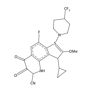 COC1=S(N2CCC(C(F)(F)F)CC2)c2c(F)cc3c(c2C1C1CC1)NC(C#N)C(=O)C3=O